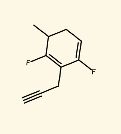 C#CCC1=C(F)C(C)CC=C1F